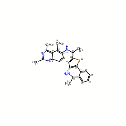 COc1nc(C)nc2ccc(NC(C)c3ccc(-c4ccccc4C(C)N)s3)c(OC)c12